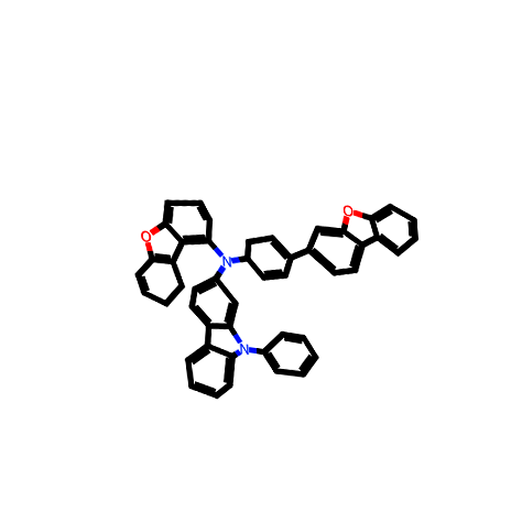 C1=Cc2oc3cccc(N(c4ccc5c6ccccc6n(-c6ccccc6)c5c4)C4C=CC(c5ccc6c(c5)oc5ccccc56)=CC4)c3c2CC1